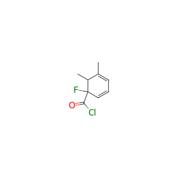 CC1=CC=CC(F)(C(=O)Cl)C1C